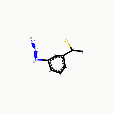 CC(S)c1cccc(N=[N+]=[N-])c1